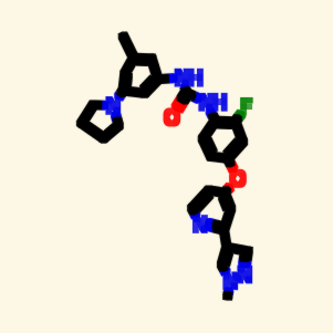 Cc1cc(NC(=O)Nc2ccc(Oc3ccnc(-c4cnn(C)c4)c3)cc2F)cc(N2CCCC2)c1